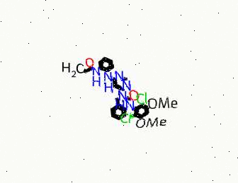 C=CC(=O)Nc1ccccc1Nc1cc(N(Cc2ccccc2)C(=O)Nc2c(Cl)c(OC)cc(OC)c2Cl)ncn1